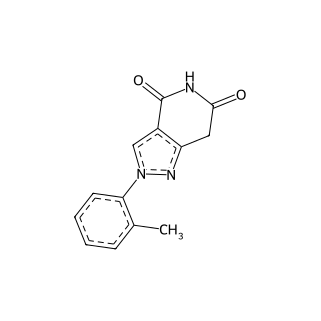 Cc1ccccc1-n1cc2c(n1)CC(=O)NC2=O